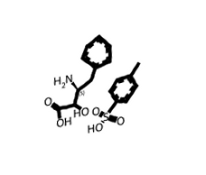 Cc1ccc(S(=O)(=O)O)cc1.N[C@@H](Cc1ccccc1)C(O)C(=O)O